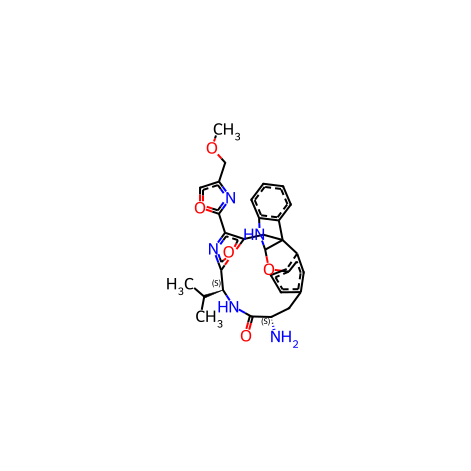 COCc1coc(-c2nc3oc2CC24c5ccccc5NC2Oc2ccc(cc24)C[C@H](N)C(=O)N[C@H]3C(C)C)n1